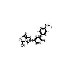 Cc1ncc(NCC2(N(C)C(=O)O)CC2)cc1-c1ccc(N)cc1